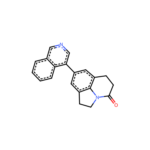 O=C1CCc2cc(-c3cncc4ccccc34)cc3c2N1CC3